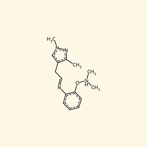 Cc1nn(C)cc1CC=Nc1ccccc1O[SiH](C)C